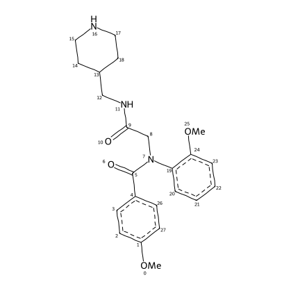 COc1ccc(C(=O)N(CC(=O)NCC2CCNCC2)c2ccccc2OC)cc1